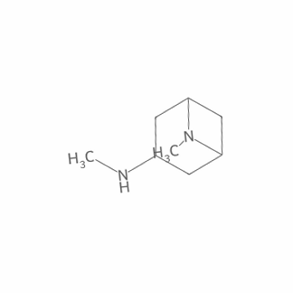 CNC1CC2CC(C1)N2C